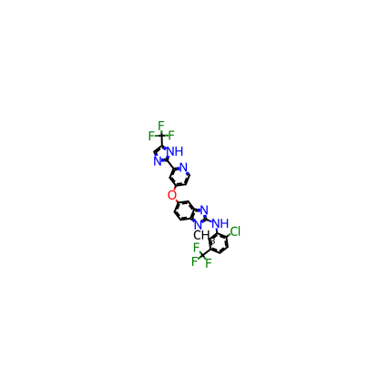 Cn1c(Nc2cc(C(F)(F)F)ccc2Cl)nc2cc(Oc3ccnc(-c4ncc(C(F)(F)F)[nH]4)c3)ccc21